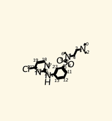 CN(C)CCN(C)S(=O)(=O)c1cccc(Nc2nccc(Cl)n2)c1